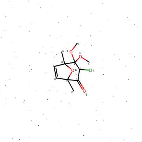 COC1(OC)C(Cl)C(=O)C2(C)C=CC1(C)O2